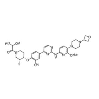 COc1nc(Nc2nccc(-c3ccc(O[C@H]4CCN(C(=O)C(O)O)C[C@H]4F)c(C#N)c3)n2)ccc1N1CCN(C2COC2)CC1